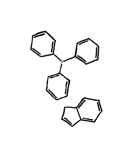 C1=Cc2ccccc2C1.c1ccc(P(c2ccccc2)c2ccccc2)cc1